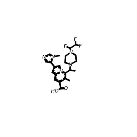 Cc1c(C(=O)O)cc2cc(-c3cncn3C)cn2c1C(C)N1CCN(C(F)C(F)F)CC1